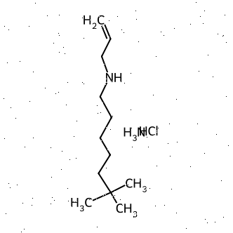 C=CCNCCCCCC(C)(C)C.Cl.N